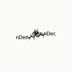 CCCCCCCCCCCCCNCCCCCCCCCCCCC.[O]=[Mo]